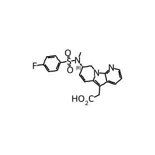 CN([C@@H]1C=Cc2c(CC(=O)O)c3cccnc3n2C1)S(=O)(=O)c1ccc(F)cc1